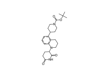 CC(C)(C)OC(=O)N1CCC(c2cccc3c2CCCN3C2CCC(=O)NC2=O)CC1